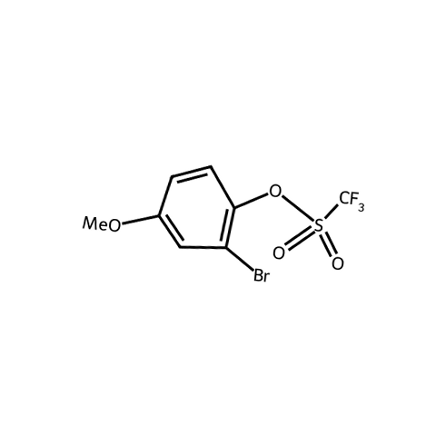 COc1ccc(OS(=O)(=O)C(F)(F)F)c(Br)c1